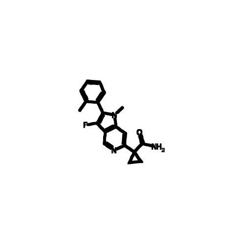 Cc1ccccc1-c1c(F)c2cnc(C3(C(N)=O)CC3)cc2n1C